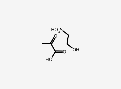 CC(=O)C(=O)O.O=S(=O)(O)CCO